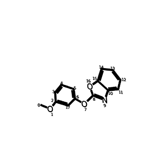 COc1cccc(Oc2nc3ccccc3o2)c1